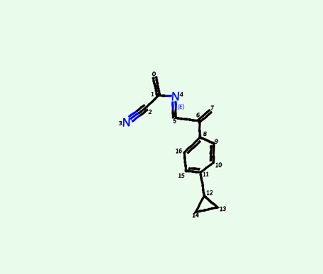 C=C(C#N)/N=C/C(=C)c1ccc(C2CC2)cc1